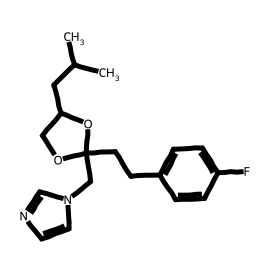 CC(C)CC1COC(CCc2ccc(F)cc2)(Cn2ccnc2)O1